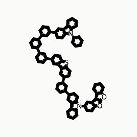 c1ccc(-n2c3ccccc3c3cc(-c4cccc(-c5cccc(-c6cccc(-c7ccc8sc9ccc(-c%10cccc(-c%11ccc%12c(c%11)c%11ccccc%11n%12-c%11ccc%12oc%13oc%14ccccc%14c%13c%12c%11)c%10)cc9c8c7)c6)c5)c4)ccc32)cc1